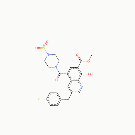 COC(=O)c1cc(C(=O)N2CCN([SH](=O)=O)CC2)c2cc(Cc3ccc(F)cc3)cnc2c1O